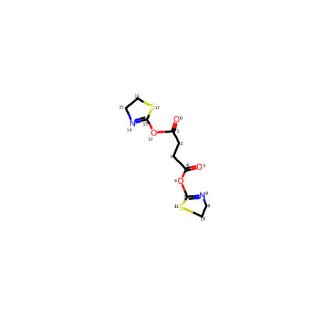 O=C(CCC(=O)OC1=NCCS1)OC1=NCCS1